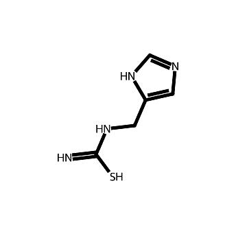 N=C(S)NCc1cnc[nH]1